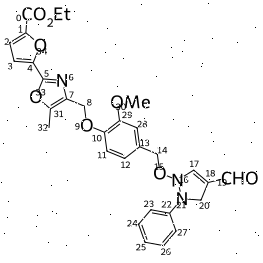 CCOC(=O)c1ccc(-c2nc(COc3ccc(CON4C=C(C=O)CN4c4ccccc4)cc3OC)c(C)o2)o1